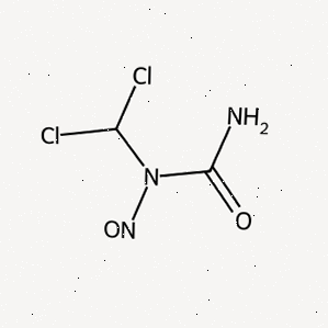 NC(=O)N(N=O)C(Cl)Cl